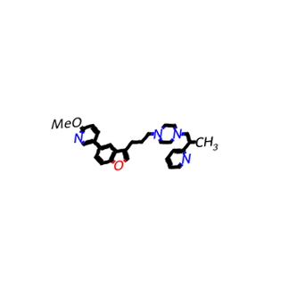 COc1ccc(-c2ccc3occ(CCCN4CCN(CC(C)c5ccccn5)CC4)c3c2)cn1